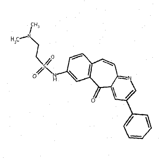 CN(C)CCS(=O)(=O)Nc1ccc2ccc3ncc(-c4ccccc4)cc3c(=O)c2c1